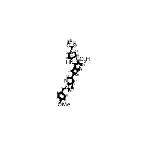 COc1ccc(Cn2ncc3cc(-c4cc5c(NC6CCN(C(=O)OC(C)(C)C)CC6)c(C(=O)O)cnc5s4)cnc32)cc1